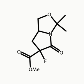 COC(=O)C1(F)CC2COC(C)(C)N2C1=O